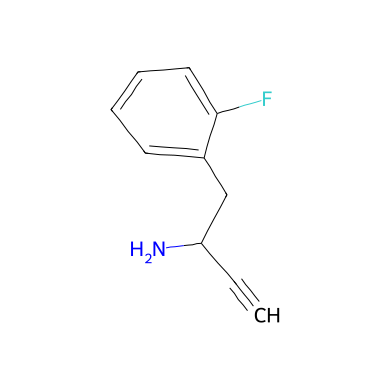 C#CC(N)Cc1ccccc1F